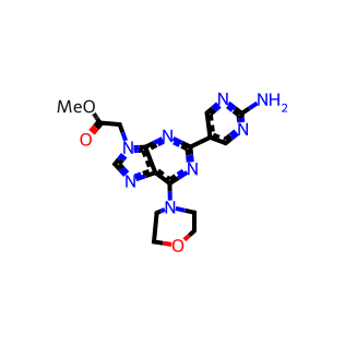 COC(=O)Cn1cnc2c(N3CCOCC3)nc(-c3cnc(N)nc3)nc21